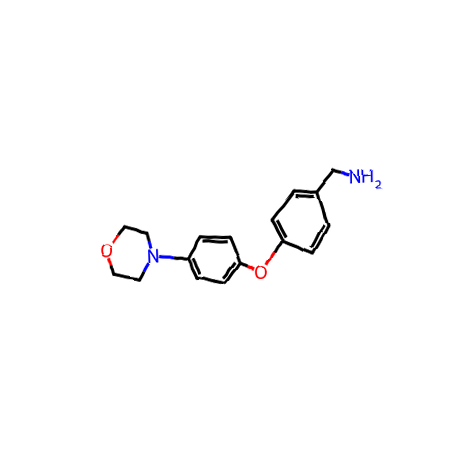 NCc1ccc(Oc2ccc(N3CCOCC3)cc2)cc1